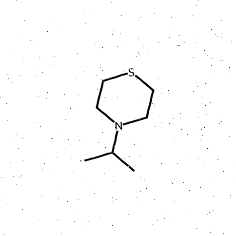 [CH2]C(C)N1CCSCC1